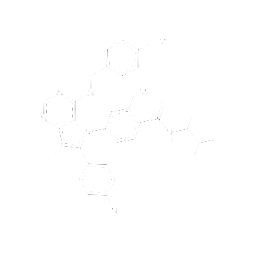 COc1ccc(CNc2ncnc3c(C)c(-c4ccc(N)cc4)n(-c4ccc(C(=O)NC(F)C(F)F)c(OC)c4)c23)cc1